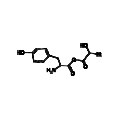 CCC(O)C(=O)OC(=O)C(N)Cc1ccc(O)cc1